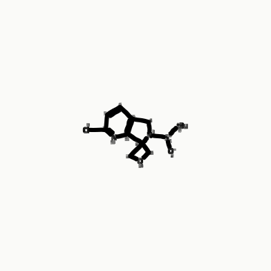 CC(C)(C)[S+]([O-])N1Cc2ccc(Cl)nc2C12COC2